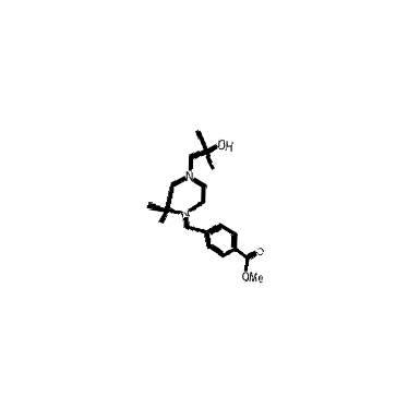 COC(=O)c1ccc(CN2CCN(CC(C)(C)O)CC2(C)C)cc1